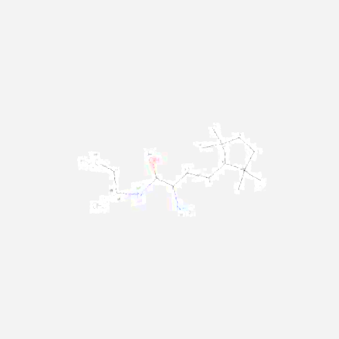 CC1(C)CCC(C)(C)C1CCC(N)C(O)N[C@H](C=O)CC(=O)O